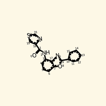 O=C(Nc1cccc2oc(-c3ccccc3)nc12)c1cscn1